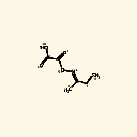 CCC(C)=NOC(=O)C(=O)O